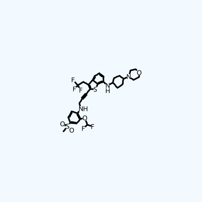 CS(=O)(=O)c1ccc(NCC#Cc2sc3c(NC4CCC(N5CCOCC5)CC4)cccc3c2CC(F)(F)F)c(OC(F)F)c1